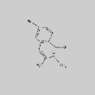 CN/C(C)=C\c1cc(Br)ccc1C=O